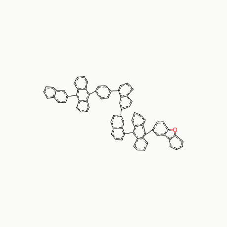 c1ccc2cc(-c3c4ccccc4c(-c4ccc(-c5cccc6ccc(-c7ccc8cccc(-c9c%10ccccc%10c(-c%10ccc%11oc%12ccccc%12c%11c%10)c%10ccccc9%10)c8c7)cc56)cc4)c4ccccc34)ccc2c1